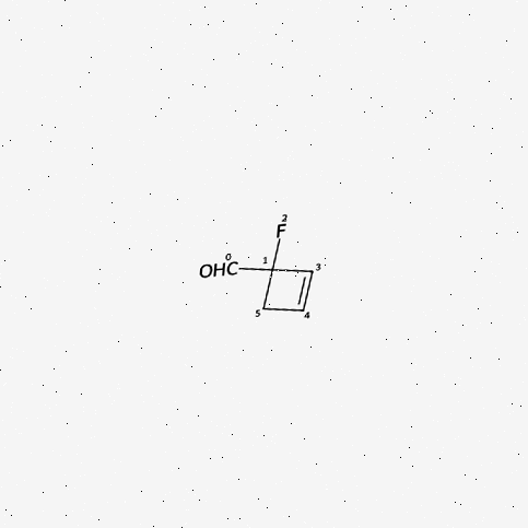 O=CC1(F)C=CC1